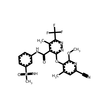 COc1nc(C#N)cc(C)c1Oc1nnc(C(F)(F)F)c(C)c1C(=O)Nc1cccc(S(C)(=N)=O)c1